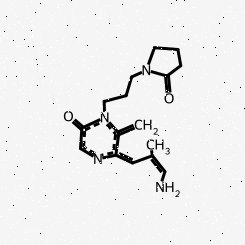 C=c1/c(=C\C(C)=C/N)ncc(=O)n1CCCN1CCCC1=O